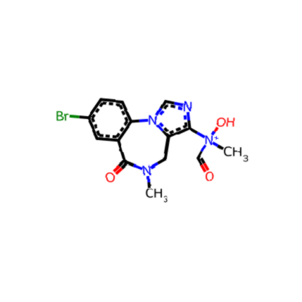 CN1Cc2c([N+](C)(O)C=O)ncn2-c2ccc(Br)cc2C1=O